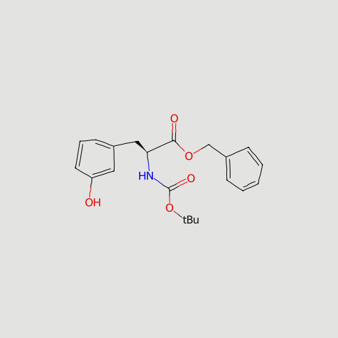 CC(C)(C)OC(=O)N[C@@H](Cc1cccc(O)c1)C(=O)OCc1ccccc1